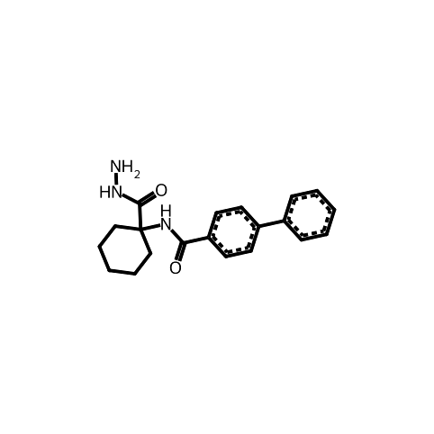 NNC(=O)C1(NC(=O)c2ccc(-c3ccccc3)cc2)CCCCC1